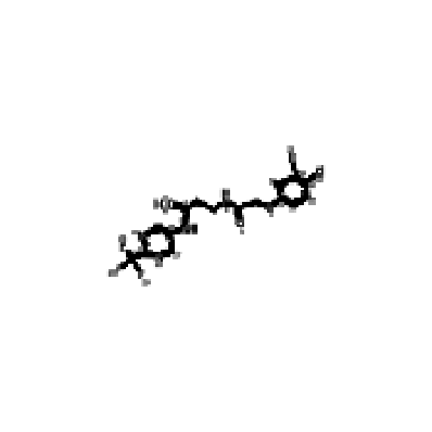 C=C(CCNC(=O)COc1ccc(Cl)c(F)c1)Nc1cnc(C(F)(F)F)nc1